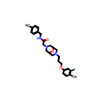 N#Cc1ccc(CNC(=O)CN2CC3CN(CCCOc4ccc(C#N)c(F)c4)CC(C2)O3)cc1